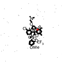 COc1ccc(S(=O)(=O)N2C(=O)C(c3cc(C)ccc3OC)(N3C[C@H](OCCN(C)C)C[C@H]3C(=O)N(C)C)c3cc(Cl)ccc32)c(OC(F)(F)F)c1